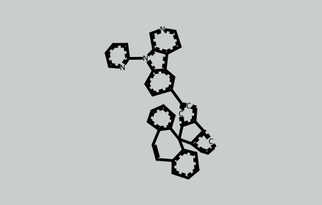 C1=Cc2ccccc2C2(c3ccccc31)c1ccccc1-c1ccc(-c3ccc4c(c3)c3ccncc3n4-c3ccccn3)cc12